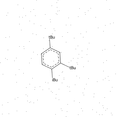 CCC(C)c1ccc(C(C)(C)C)[c]c1C(C)(C)C